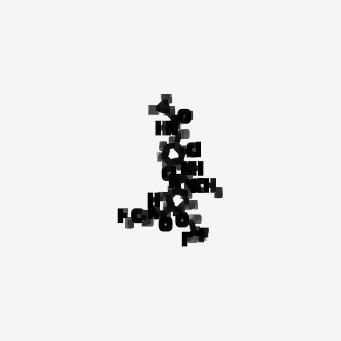 Cn1c(Nc2c(Cl)ccc(CNC(=O)C3CC3)c2Cl)nc2cc(C(=O)NCC(F)(F)F)c(OCC(F)F)cc21